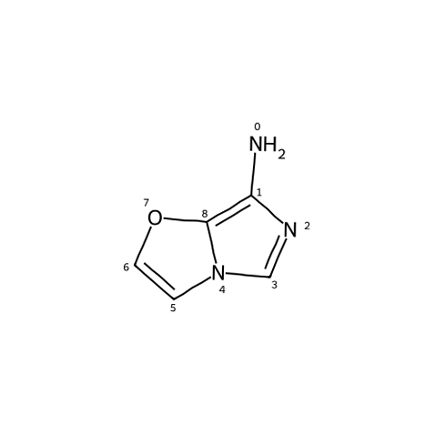 Nc1ncn2ccoc12